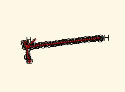 CCCCCCCCCCCC(CCCCCCCCCCC(=O)OCc1ccccc1)(C(=O)NCCOCCOCCOCCOCCOCCOCCOCCOCCOCCOCCOCCOCCOCCOCCOCCOCCOCCOCCOCCOCCOCCOCCOCCOCCC(=O)O)C(=O)OCc1ccccc1